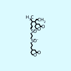 C=CC(C(CC)CC=C[S+]([O-])CCC[S+]([O-])CCCC1CCOC(=O)C1)C1CCOC(=O)C1